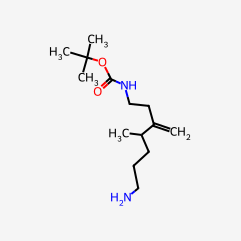 C=C(CCNC(=O)OC(C)(C)C)C(C)CCCN